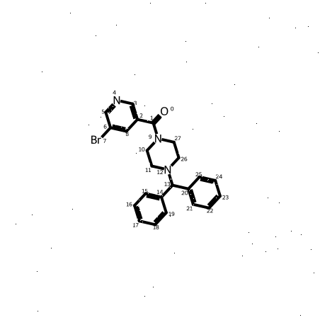 O=C(c1cncc(Br)c1)N1CCN(C(c2ccccc2)c2ccccc2)CC1